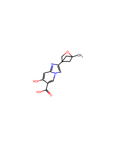 CC12CC(c3cn4cc(C(=O)O)c(O)cc4n3)(CO1)C2